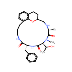 CC[C@@H]1NCC2CCc3cccc(c3O2)CCCNC(=O)[C@@H](Cc2ccccc2)NC(=O)[C@H](C(C)O)N(C)C1=O